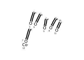 [C]=O.[C]=O.[C]=O.[C]=O.[C]=O.[C]=O.[Co]